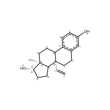 C=C[C@@]12CCc3cc(O)ccc3C1CC[C@@]1(C)C2CC[C@@H]1O